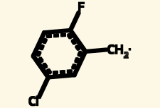 [CH2]c1cc(Cl)ccc1F